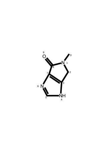 CN1Cc2[nH]cnc2C1=O